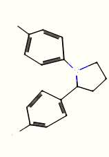 Cc1ccc(N2CCCC2c2ccc(C#N)cc2)cc1